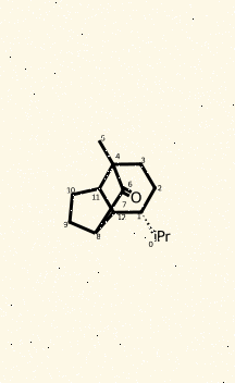 CC(C)[C@H]1CCC2(C)C(=O)C3CCC2C31